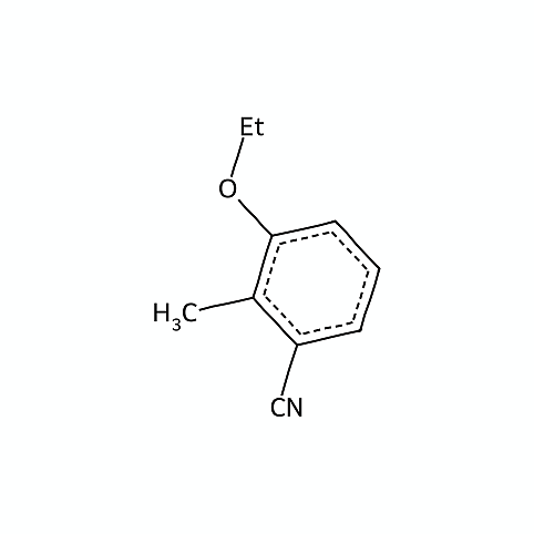 CCOc1cccc(C#N)c1C